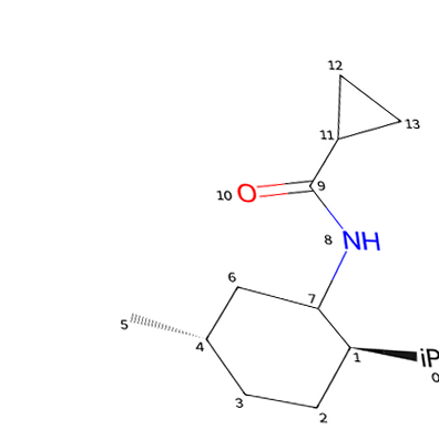 CC(C)[C@H]1CC[C@H](C)CC1NC(=O)C1CC1